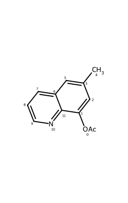 CC(=O)Oc1cc(C)cc2cccnc12